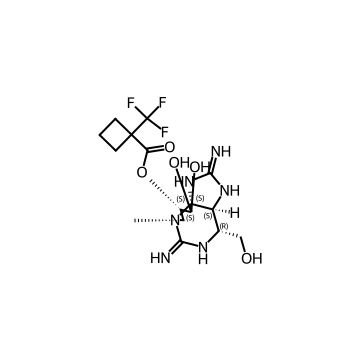 C[C@H]1[C@H](OC(=O)C2(C(F)(F)F)CCC2)C(O)(O)[C@]23NC(=N)N[C@H]2[C@H](CO)NC(=N)N13